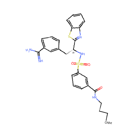 COCCCNC(=O)c1cccc(S(=O)(=O)N[C@H](Cc2cccc(C(=N)N)c2)c2nc3ccccc3s2)c1